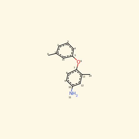 Cc1cccc(Oc2ccc(N)cc2C)c1